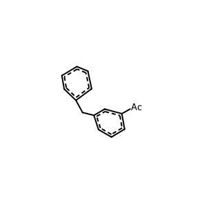 CC(=O)c1cccc(Cc2ccccc2)c1